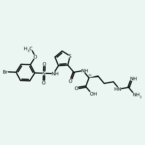 COc1cc(Br)ccc1S(=O)(=O)Nc1ccsc1C(=O)N[C@@H](CCCNC(=N)N)C(=O)O